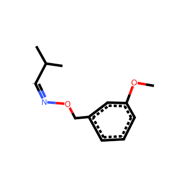 COc1cccc(CO/N=[C]\C(C)C)c1